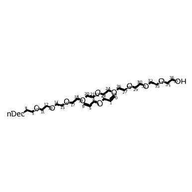 C=CCOCC=C.CCCCCCCCCCCCOCCOCCOCCOCCOCCOCCOCCOCCOCCO